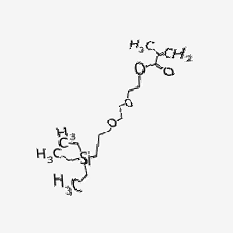 C=C(C)C(=O)OCCOCCOCCC[Si](CC)(CC)CC